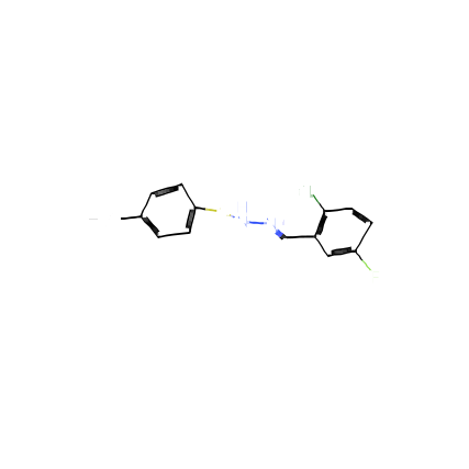 Cc1ccc(SN/N=C/c2cc(F)ccc2Cl)cc1